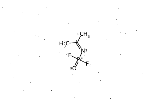 CC(C)=NP(=O)(F)F